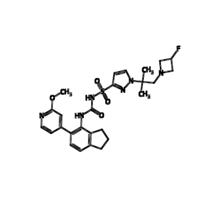 COc1cc(-c2ccc3c(c2NC(=O)NS(=O)(=O)c2ccn(C(C)(C)CN4CC(F)C4)n2)CCC3)ccn1